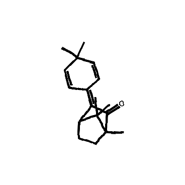 CC1(C)C=CC(=C2C(=O)C3(C)CCC2C3(C)C)C=C1